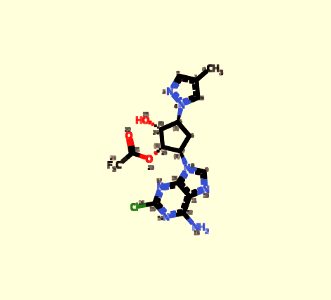 Cc1cnn([C@H]2C[C@@H](n3cnc4c(N)nc(Cl)nc43)[C@H](OC(=O)C(F)(F)F)[C@@H]2O)c1